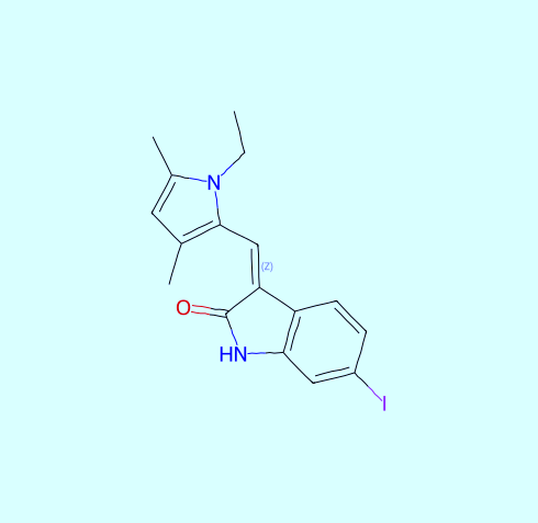 CCn1c(C)cc(C)c1/C=C1\C(=O)Nc2cc(I)ccc21